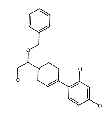 O=CC(OCc1ccccc1)N1CC=C(c2ccc(Cl)cc2Cl)CC1